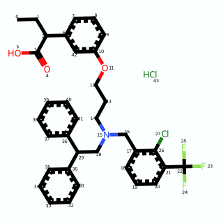 CCC(C(=O)O)c1cccc(OCCCN(Cc2cccc(C(F)(F)F)c2Cl)CC(c2ccccc2)c2ccccc2)c1.Cl